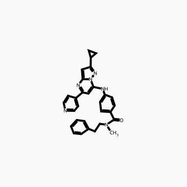 CN(CCc1ccccc1)C(=O)c1ccc(Nc2cc(-c3ccncc3)nc3cc(C4CC4)nn23)cc1